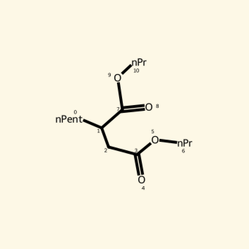 CCCCCC(CC(=O)OCCC)C(=O)OCCC